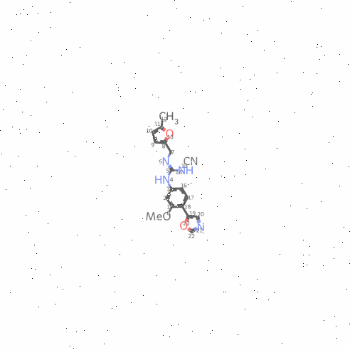 COc1cc(N/C(=N/Cc2ccc(C)o2)NC#N)ccc1-c1cnco1